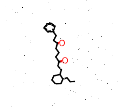 CCCC1CCCCC1CCC(=O)CCCC(=O)CCc1ccccc1